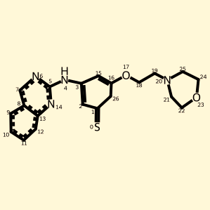 S=C1C=C(Nc2ncc3ccccc3n2)C=C(OCCN2CCOCC2)C1